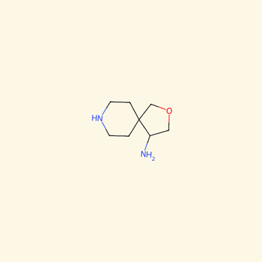 NC1COCC12CCNCC2